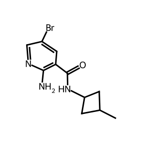 CC1CC(NC(=O)c2cc(Br)cnc2N)C1